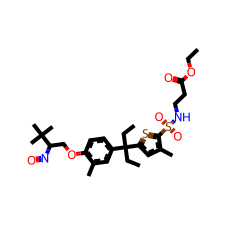 CCOC(=O)CCNS(=O)(=O)c1sc(C(CC)(CC)c2ccc(OCC(N=O)C(C)(C)C)c(C)c2)cc1C